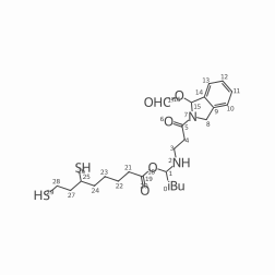 CCC(C)C(NCCC(=O)N1Cc2ccccc2C1OC=O)OC(=O)CCCCC(S)CCS